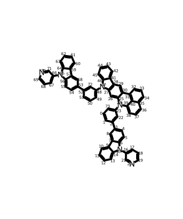 c1cc(-c2ccc3c(c2)c2ccccc2n3-c2cccnc2)cc(N2c3cc4c(cc3-c3cccc5cccc2c35)c2ccccc2n4-c2cccc(-c3ccc4c(c3)c3ccccc3n4-c3cccnc3)c2)c1